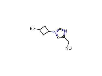 CCC1CC(n2cnc(CN=O)c2)C1